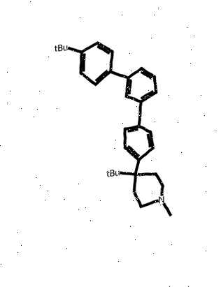 CN1CCC(c2ccc(-c3cccc(-c4ccc(C(C)(C)C)cc4)c3)cc2)(C(C)(C)C)CC1